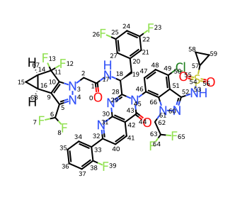 O=C(Cn1nc(C(F)F)c2c1C(F)(F)[C@@H]1C[C@H]21)N[C@@H](Cc1cc(F)cc(F)c1)c1nc2nc(-c3ccccc3F)ccc2c(=O)n1-c1ccc(Cl)c2c(NS(=O)(=O)C3CC3)nn(CC(F)F)c12